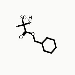 O=C(OCC1CCCCC1)C(F)(F)S(=O)(=O)O